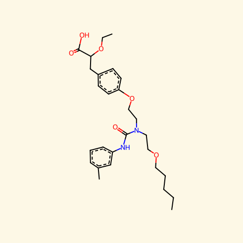 CCCCCOCCN(CCOc1ccc(CC(OCC)C(=O)O)cc1)C(=O)Nc1cccc(C)c1